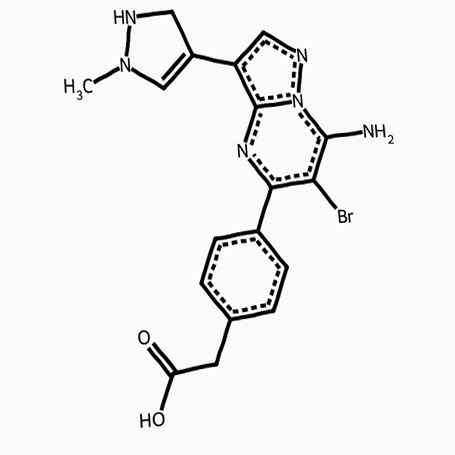 CN1C=C(c2cnn3c(N)c(Br)c(-c4ccc(CC(=O)O)cc4)nc23)CN1